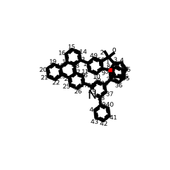 CC1(C)c2ccccc2-c2ccc(-c3cccc4c5ccccc5c5ccc(-c6cc(-c7ccccc7)cc(-c7ccccc7)n6)cc5c34)cc21